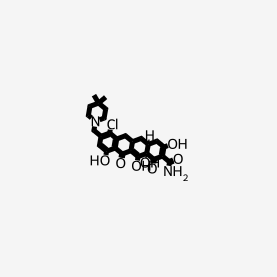 CC1(C)CCN(Cc2cc(O)c3c(c2Cl)CC2C[C@H]4CC(O)=C(C(N)=O)C(=O)[C@@]4(O)C(O)=C2C3=O)CC1